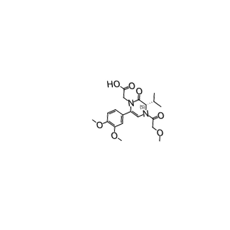 COCC(=O)N1C=C(c2ccc(OC)c(OC)c2)N(CC(=O)O)C(=O)[C@@H]1C(C)C